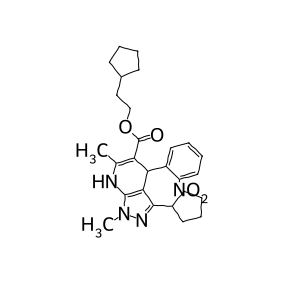 CC1=C(C(=O)OCCC2CCCC2)C(c2ccccc2[N+](=O)[O-])c2c(C3CCCC3)nn(C)c2N1